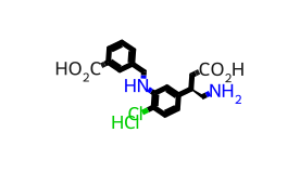 Cl.NC[C@H](CC(=O)O)c1ccc(Cl)c(NCc2cccc(C(=O)O)c2)c1